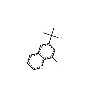 Bc1cc(C(C)(C)C#N)cc2cccnc12